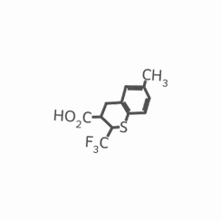 Cc1ccc2c(c1)CC(C(=O)O)C(C(F)(F)F)S2